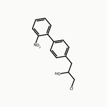 O=[N+]([O-])c1ccccc1-c1ccc(CC(O)CCl)cc1